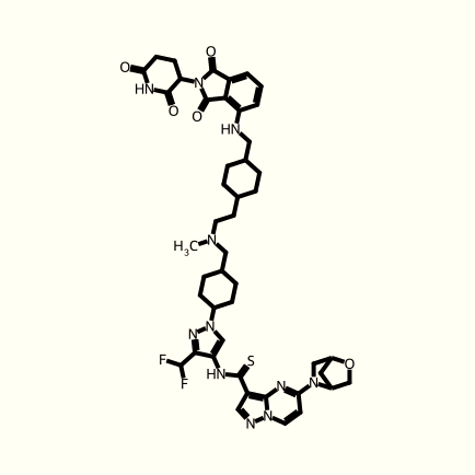 CN(CCC1CCC(CNc2cccc3c2C(=O)N(C2CCC(=O)NC2=O)C3=O)CC1)CC1CCC(n2cc(NC(=S)c3cnn4ccc(N5CC6CC5CO6)nc34)c(C(F)F)n2)CC1